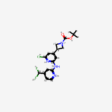 CC(C)(C)OC(=O)N1CC(c2cc(Cl)nc(Nc3cc(C(F)F)ccn3)c2)C1